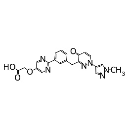 Cn1cc(-n2ccc(=O)c(Cc3cccc(-c4ncc(OCC(=O)O)cn4)c3)n2)cn1